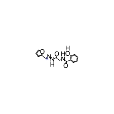 O=C(CNC(=O)c1ccccc1O)N/N=C/c1ccco1